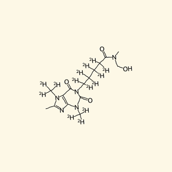 [2H]C([2H])([2H])n1c(C)nc2c1c(=O)n(C([2H])([2H])C([2H])([2H])C([2H])([2H])C([2H])([2H])C(=O)N(C)CO)c(=O)n2C([2H])([2H])[2H]